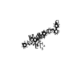 CN(C)CC[C@H](CSc1ccccc1)Nc1ccc(S(=O)(=O)NC(=O)c2ccc(N3CCN(CC4=C(c5ccc(Cl)cc5)CCCC4)CC3)cc2)cc1C(F)(F)F